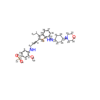 CCc1c(C#CCNc2ccc(S(C)(=O)=O)cc2OC)sc2c(NC3CCC(N4CCOCC4)CC3)cccc12